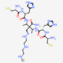 CCNCCNCCNN=CC(C(N)=O)(C(C)NC(=O)[C@H](Cc1c[nH]cn1)NC(=O)[C@@H](N)CS)C(C)NC(=O)[C@H](Cc1c[nH]cn1)NC(=O)[C@@H](N)CS